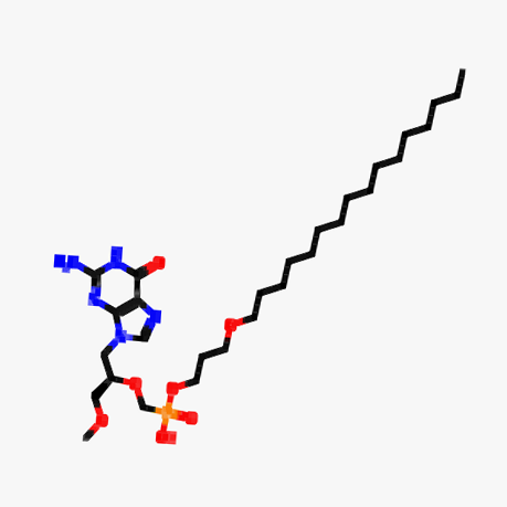 CCCCCCCCCCCCCCCCOCCCOP(=O)(O)CO[C@@H](COC)Cn1cnc2c(=O)[nH]c(N)nc21